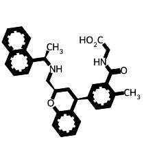 Cc1ccc([C@@H]2C[C@H](CN[C@H](C)c3cccc4ccccc34)Oc3ccccc32)cc1C(=O)NCC(=O)O